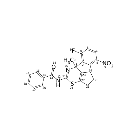 CC1(c2cc([N+](=O)[O-])ccc2F)N=C(NC(=O)c2ccccc2)SC2=C1CCC2